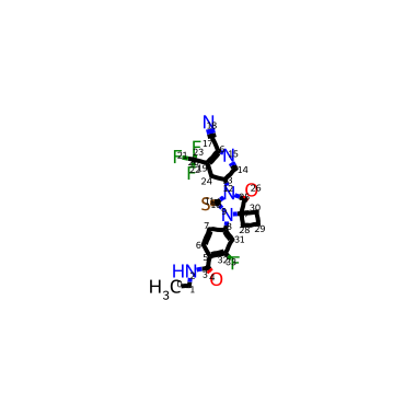 CCNC(=O)c1ccc(N2C(=S)N(C3C=NC(C#N)=C(C(F)(F)F)C3)C(=O)C23CCC3)cc1F